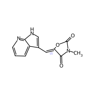 CN1C(=O)O/C(=C\c2c[nH]c3ncccc23)C1=O